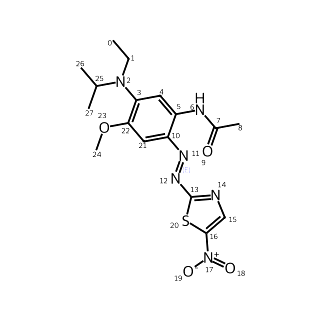 CCN(c1cc(NC(C)=O)c(/N=N/c2ncc([N+](=O)[O-])s2)cc1OC)C(C)C